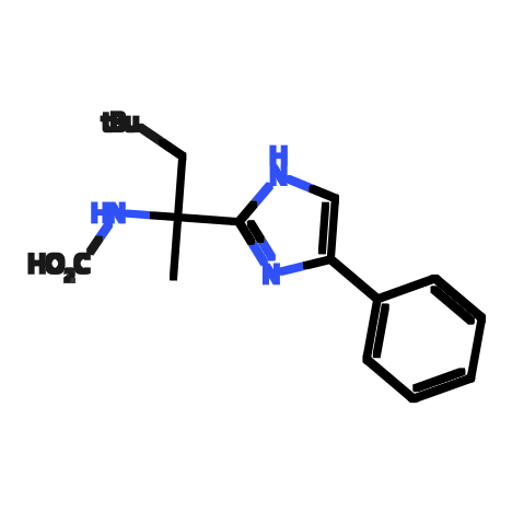 CC(C)(C)CC(C)(NC(=O)O)c1nc(-c2ccccc2)c[nH]1